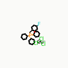 Fc1ccc(C[P+](c2ccccc2)(c2ccccc2)c2ccccc2)cc1.[Cl][Cu-]([Cl])[Cl]